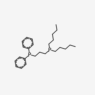 CCCCCP(CCCCC)CCCP(c1ccccc1)c1ccccc1